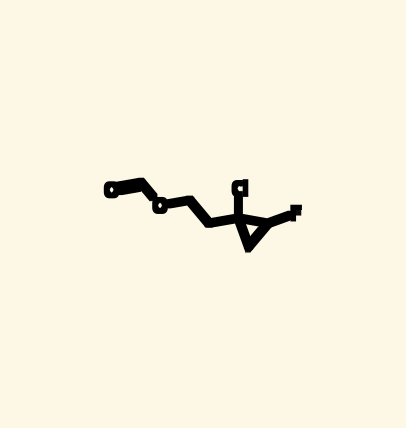 O=COCCC1(Cl)CC1F